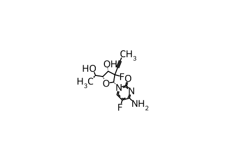 CC#CC1(F)[C@@H](O)[C@@H]([C@@H](C)O)O[C@H]1n1cc(F)c(N)nc1=O